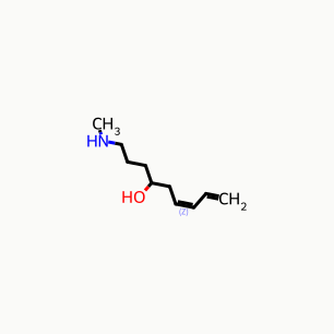 C=C/C=C\CC(O)CCCNC